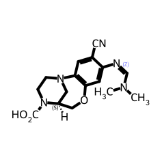 CN(C)/C=N\c1cc2c(cc1C#N)N1CCN(C(=O)O)[C@H](CO2)C1